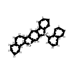 c1ccc2c(-n3c4ccccc4c4cc5c(cc43)sc3c4ccccc4ccc53)cccc2c1